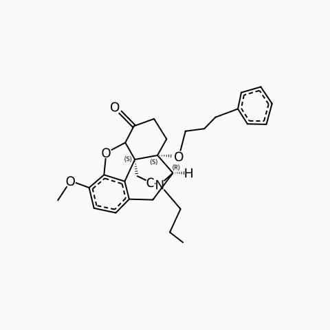 CCCN1CC[C@]23c4c5ccc(OC)c4OC2C(=O)CC[C@@]3(OCCCc2ccccc2)[C@H]1C5